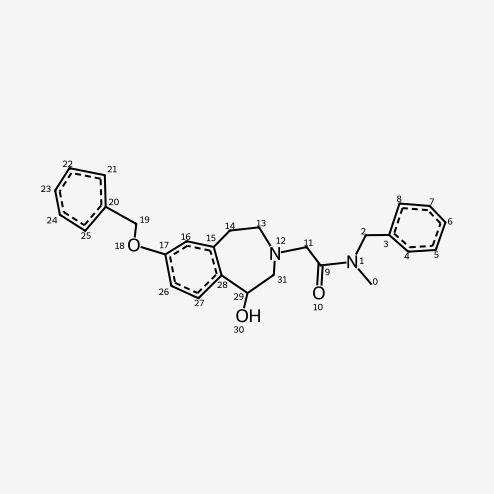 CN(Cc1ccccc1)C(=O)CN1CCc2cc(OCc3ccccc3)ccc2C(O)C1